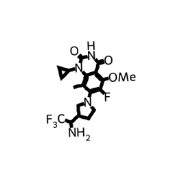 COc1c(F)c(N2CCC(C(N)C(F)(F)F)C2)c(C)c2c1c(=O)[nH]c(=O)n2C1CC1